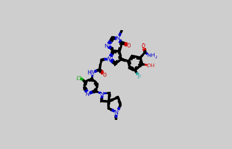 CN1CCC2(C1)CN(c1cc(NC(=O)Cn3cc(-c4cc(F)c(O)c(C(N)=O)c4)c4c(=O)n(C)cnc43)c(Cl)cn1)C2